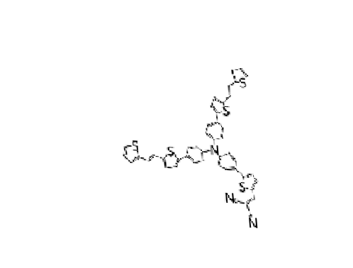 N#CC(C#N)=Cc1ccc(-c2ccc(N(c3ccc(-c4ccc(/C=C/c5cccs5)s4)cc3)c3ccc(-c4ccc(/C=C/c5cccs5)s4)cc3)cc2)s1